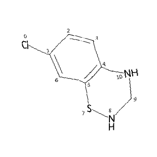 Clc1ccc2c(c1)SNCN2